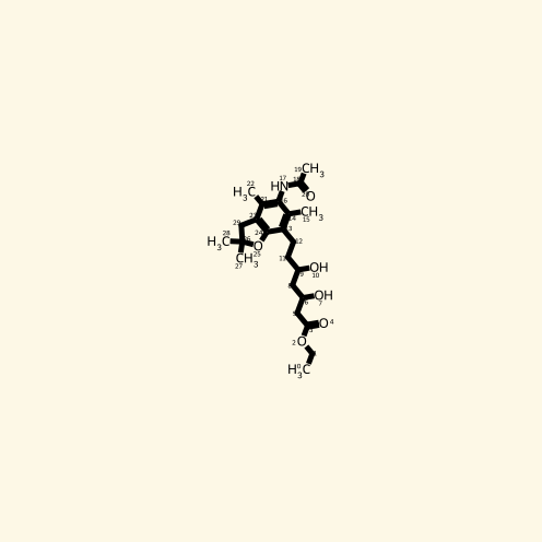 CCOC(=O)CC(O)CC(O)CCc1c(C)c(NC(C)=O)c(C)c2c1OC(C)(C)C2